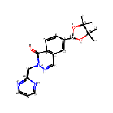 CC1(C)OB(c2ccc3c(=O)n(Cc4ncccn4)ncc3c2)OC1(C)C